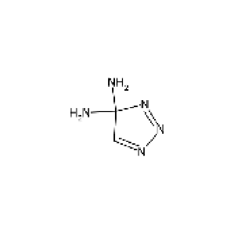 NC1(N)C=NN=N1